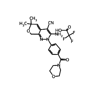 CC1(C)C=C2C(=NN(c3ccc(C(=O)N4CCOCC4)cc3)C(N)=C2C#N)CO1.O=C(O)C(F)(F)F